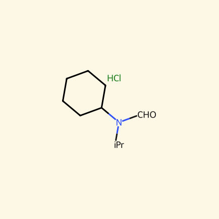 CC(C)N(C=O)C1CCCCC1.Cl